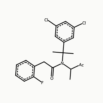 CC(=O)C(C)N(C(=O)Cc1ccccc1F)C(C)(C)c1cc(Cl)cc(Cl)c1